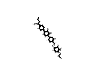 CCCC(O)c1ccc(-c2ccc(-c3ccc(COc4ccc(OCC)c(F)c4F)cc3)c(F)c2F)cc1